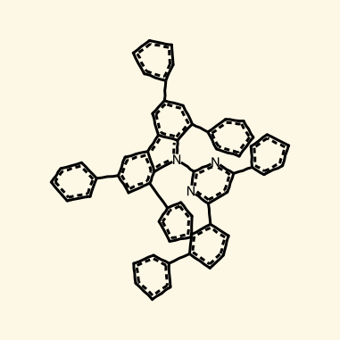 c1ccc(-c2cccc(-c3cc(-c4ccccc4)nc(-n4c5c(-c6ccccc6)cc(-c6ccccc6)cc5c5cc(-c6ccccc6)cc(-c6ccccc6)c54)n3)c2)cc1